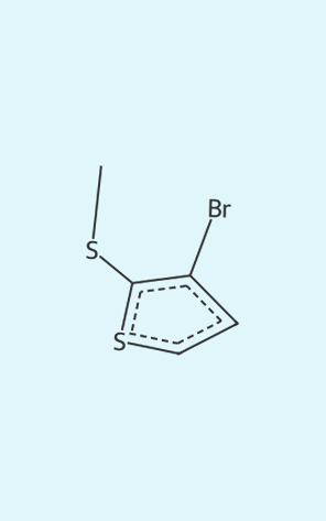 CSc1sccc1Br